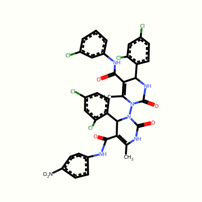 CC1=C(C(=O)Nc2ccc([N+](=O)[O-])cc2)C(c2ccc(Cl)cc2Cl)N(N2C(=O)NC(c3ccc(Cl)cc3Cl)C(C(=O)Nc3cccc(Cl)c3)=C2C)C(=O)N1